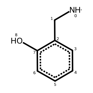 [NH]Cc1ccccc1O